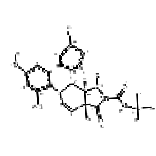 COc1ccc([C@@H]2C=C[C@@]3(C)C(=O)N(C(=O)OC(C)(C)C)[C@H](C)[C@H]3[C@H]2c2ccc(Cl)cc2)c(Cl)c1